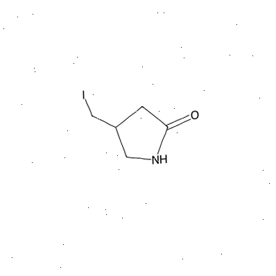 O=C1CC(CI)CN1